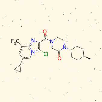 C[C@H]1CC[C@H](N2CCN(C(=O)c3nc4c(C(F)(F)F)cc(C5CC5)cn4c3Cl)CC2=O)CC1